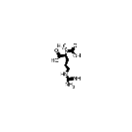 CN(C(=O)O)C(CCCNC(=N)N)C(=O)O